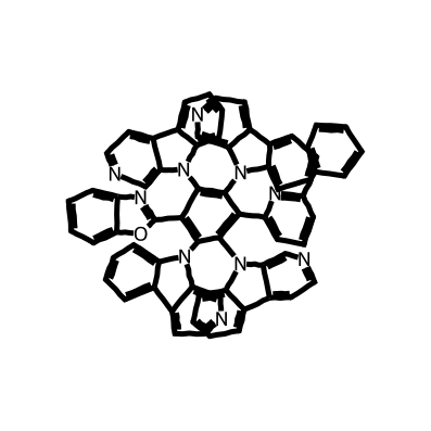 c1ccc(-c2cccc(-c3c(-n4c5ccccc5c5ccncc54)c(-n4c5ccccc5c5ccncc54)c(-c4nc5ccccc5o4)c(-n4c5ccccc5c5ccncc54)c3-n3c4ccccc4c4ccncc43)n2)cc1